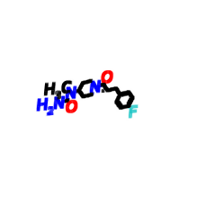 CN(C(N)=O)C1CCN(C(=O)[CH]Cc2ccc(F)cc2)CC1